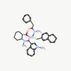 CN(C(=O)Cc1ccccc1)[C@H](Cc1ccc2ccccc2c1)NC(=O)[C@@H]1CCCC[C@@H]1N(C)C(=O)c1cn(C)c2ccccc12